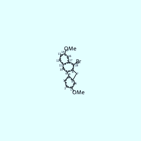 COc1ccc2c(c1)Cc1c-2cc2ccc(OC)cc2c1Br